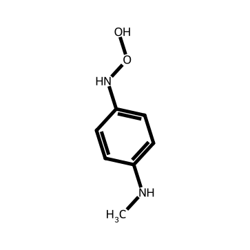 CNc1ccc(NOO)cc1